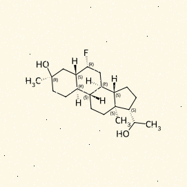 CC(O)[C@H]1CC[C@H]2[C@@H]3C[C@@H](F)[C@H]4C[C@](C)(O)CC[C@@H]4[C@H]3CC[C@]12C